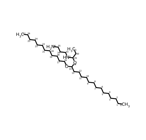 CCCCCCCCCCCCCCC(OCCCCCCCCCCCC)OC(CC)NCCCN